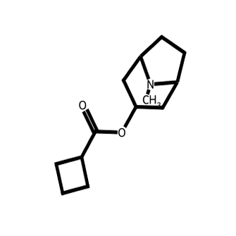 CN1C2CCC1CC(OC(=O)C1CCC1)C2